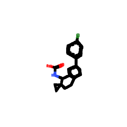 O=C(O)NC1c2cc(-c3ccc(Cl)cc3)ccc2CCC12CC2